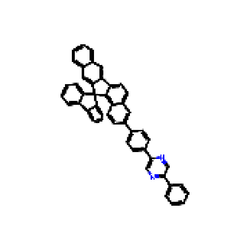 c1ccc(-c2cnc(-c3ccc(-c4ccc5c6c(ccc5c4)-c4cc5ccccc5cc4C64c5ccccc5-c5ccccc54)cc3)cn2)cc1